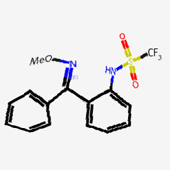 CO/N=C(\c1ccccc1)c1ccccc1NS(=O)(=O)C(F)(F)F